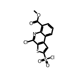 COC(=O)c1cccc2c1nc(Cl)c1sc(S(=O)(=O)Cl)cc12